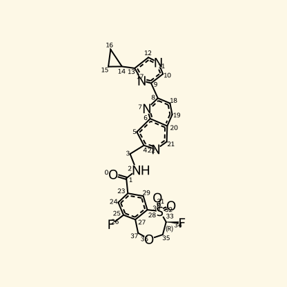 O=C(NCc1cc2nc(-c3cncc(C4CC4)n3)ccc2cn1)c1cc(F)c2c(c1)S(=O)(=O)[C@@H](F)COC2